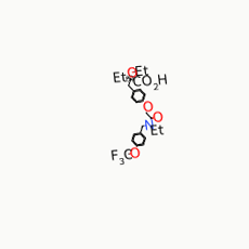 CCO[C@@](CC)(Cc1ccc(OCC(=O)N(CC)Cc2ccc(OC(F)(F)F)cc2)cc1)C(=O)O